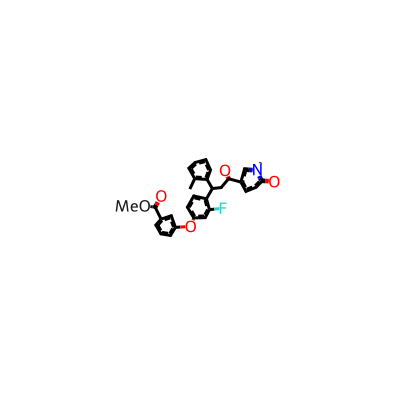 COC(=O)c1cccc(Oc2ccc(C(CC(=O)c3ccc(=O)n(C)c3)c3ccccc3C)c(F)c2)c1